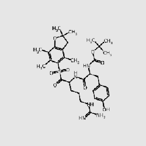 Cc1c(C)c(S(=O)(=O)C(=O)[C@H](CCCNC(=N)N)NC(=O)[C@H](Cc2ccc(O)cc2)NC(=O)OC(C)(C)C)c(C)c2c1OC(C)(C)C2